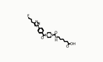 O=C(O)CCCCCNC(=O)N1CCN(C(=O)c2ccc(-n3cc(CCCF)nn3)cc2)CC1